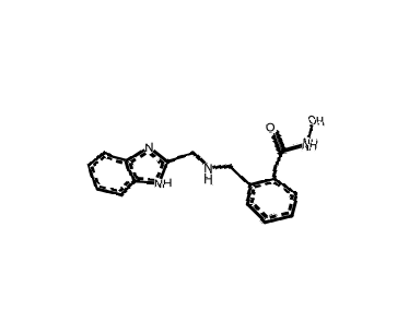 O=C(NO)c1ccccc1CNCc1nc2ccccc2[nH]1